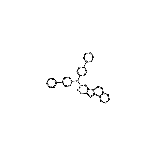 c1ccc(-c2ccc(N(c3ccc(-c4ccccc4)cc3)c3cc4c(cn3)sc3c5ccccc5ccc43)cc2)cc1